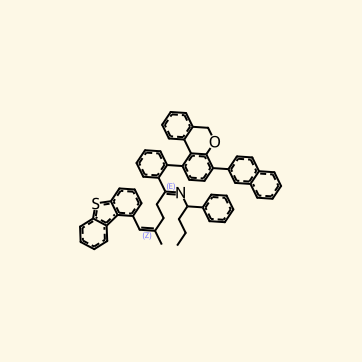 CCCC(/N=C(\CC/C(C)=C\c1cccc2sc3ccccc3c12)c1ccccc1-c1ccc(-c2ccc3ccccc3c2)c2c1-c1ccccc1CO2)c1ccccc1